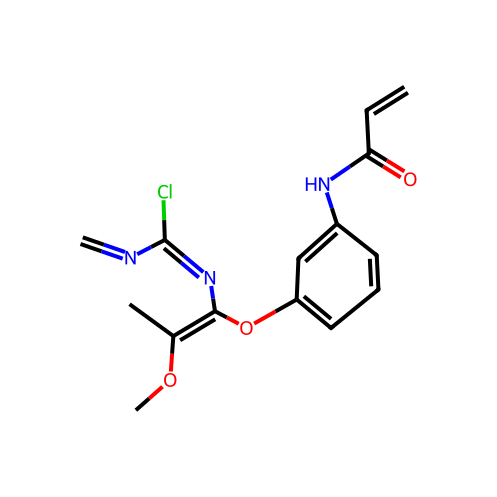 C=CC(=O)Nc1cccc(OC(/N=C(/Cl)N=C)=C(/C)OC)c1